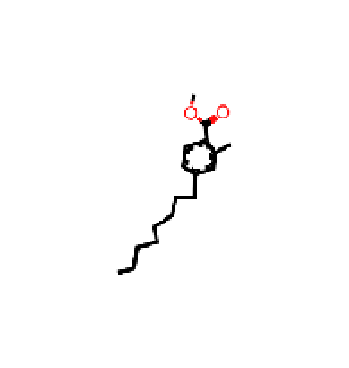 CCCCCCCCc1ccc(C(=O)OC)c(C)c1